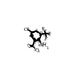 Nc1c(C(=O)Cl)cc(Cl)cc1C(F)(F)F